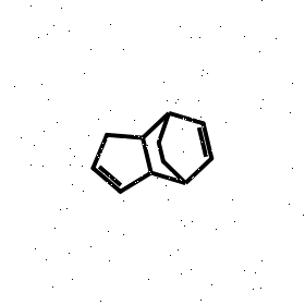 C1=CC2C3C=CC(CC3)C2C1